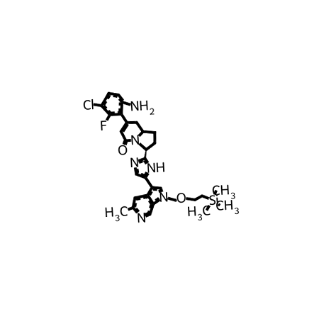 Cc1cc2c(-c3cnc([C@@H]4CCC5CC(c6c(N)ccc(Cl)c6F)=CC(=O)N54)[nH]3)cn(COCC[Si](C)(C)C)c2cn1